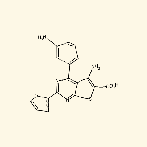 Nc1cccc(-c2nc(-c3ccco3)nc3sc(C(=O)O)c(N)c23)c1